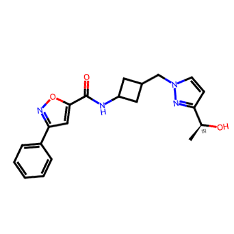 C[C@H](O)c1ccn(CC2CC(NC(=O)c3cc(-c4ccccc4)no3)C2)n1